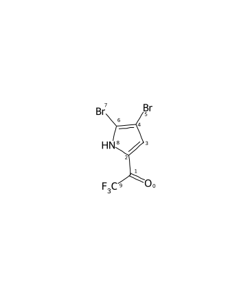 O=C(c1cc(Br)c(Br)[nH]1)C(F)(F)F